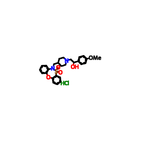 COc1ccc([C@@H](O)CN2CCC(CN3c4ccccc4Oc4ccccc4S3(=O)=O)CC2)cc1.Cl